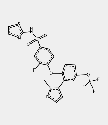 Cn1nccc1-c1cc(OC(F)(F)F)ccc1Oc1ccc(S(=O)(=O)Nc2nccs2)cc1F